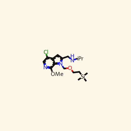 COc1ncc(Cl)c2cc(CNC(C)C)n(COCC[Si](C)(C)C)c12